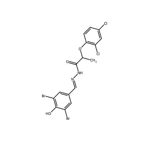 CC(Oc1ccc(Cl)cc1Cl)C(=O)NN=Cc1cc(Br)c(O)c(Br)c1